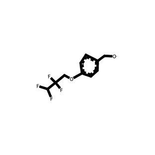 [O]Cc1ccc(OCC(F)(F)C(F)F)cc1